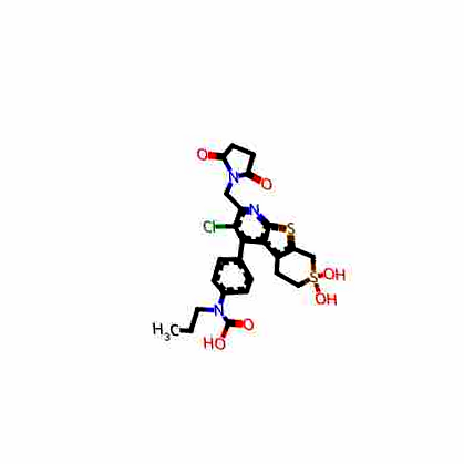 CCCN(C(=O)O)c1ccc(-c2c(Cl)c(CN3C(=O)CCC3=O)nc3sc4c(c23)CCS(O)(O)C4)cc1